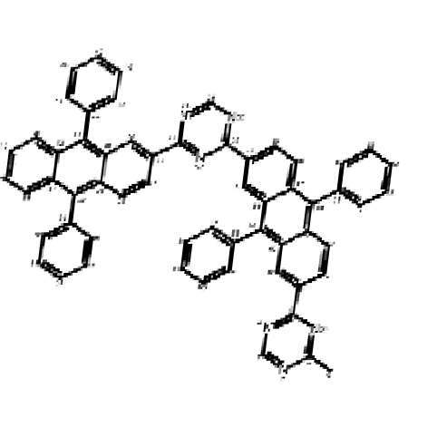 Cc1ncnc(-c2ccc3c(-c4ccccc4)c4ccc(-c5ncnc(-c6ccc7c(-c8ccccc8)c8ccccc8c(-c8ccccc8)c7c6)n5)cc4c(-c4ccccc4)c3c2)n1